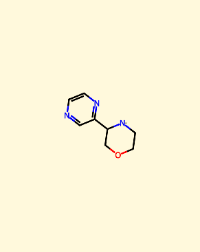 c1cnc(C2COCC[N]2)cn1